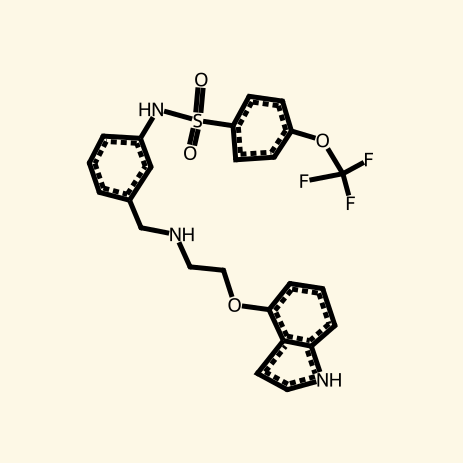 O=S(=O)(Nc1cccc(CNCCOc2cccc3[nH]ccc23)c1)c1ccc(OC(F)(F)F)cc1